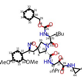 CCC[C@H](NC(=O)[C@@H]1C[C@]2(CC(c3ccc(OC)cc3OC)=NO2)CN1C(=O)[C@@H](NC(=O)OCc1ccccc1)C(C)(C)C)C(=O)C(=O)NC1CC1